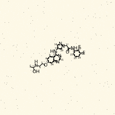 CC(O)NCCOc1ccc2c(Nc3cnn(CC(=O)Nc4cccc(F)c4F)c3)ncnc2c1